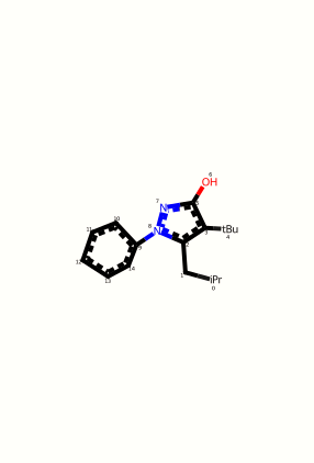 CC(C)Cc1c(C(C)(C)C)c(O)nn1-c1ccccc1